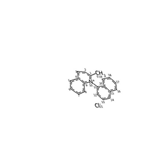 Cc1ccc2ccccc2[n+]1-c1cccc2ccccc12.[Cl-]